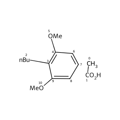 CC(=O)O.CCCCc1c(OC)cccc1OC